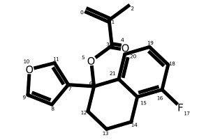 C=C(C)C(=O)OC1(c2ccoc2)CCCc2c(F)cccc21